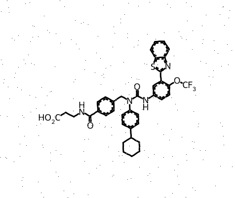 O=C(O)CCNC(=O)c1ccc(CN(C(=O)Nc2ccc(OC(F)(F)F)c(-c3nc4ccccc4s3)c2)c2ccc(C3CCCCC3)cc2)cc1